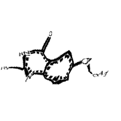 COc1ccc2nc(S)[nH]c(=O)c2c1